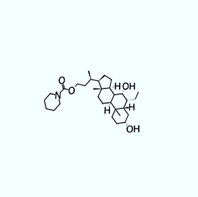 CC[C@H]1[C@@H](O)C2[C@H](CC[C@]3(C)[C@@H]([C@H](C)CCOC(=O)N4CCCCC4)CC[C@@H]23)C2(C)CC[C@@H](O)C[C@@H]12